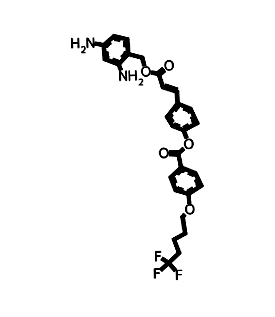 Nc1ccc(COC(=O)C=Cc2ccc(OC(=O)c3ccc(OCCCCC(F)(F)F)cc3)cc2)c(N)c1